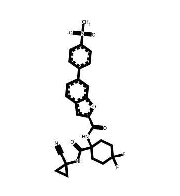 CS(=O)(=O)c1ccc(-c2ccc3cc(C(=O)NC4(C(=O)NC5(C#N)CC5)CCC(F)(F)CC4)oc3c2)cc1